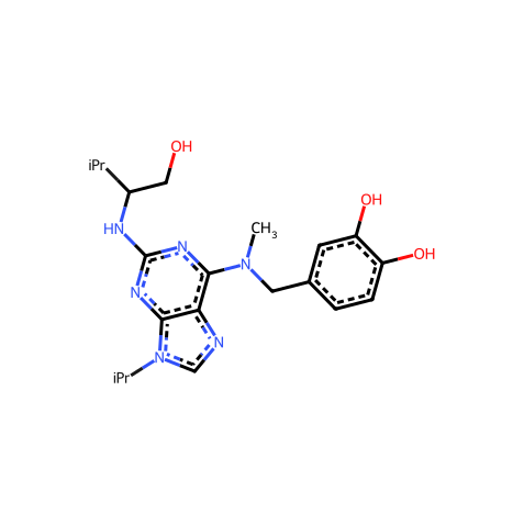 CC(C)C(CO)Nc1nc(N(C)Cc2ccc(O)c(O)c2)c2ncn(C(C)C)c2n1